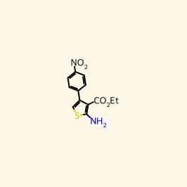 CCOC(=O)c1c(-c2ccc([N+](=O)[O-])cc2)csc1N